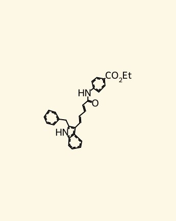 CCOC(=O)c1ccc(NC(=O)C=CC=Cc2c(Cc3ccccc3)[nH]c3ccccc23)cc1